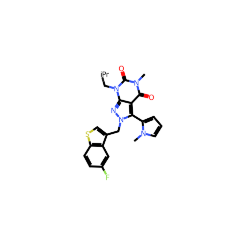 CC(C)Cn1c(=O)n(C)c(=O)c2c(-c3cccn3C)n(Cc3csc4ccc(F)cc34)nc21